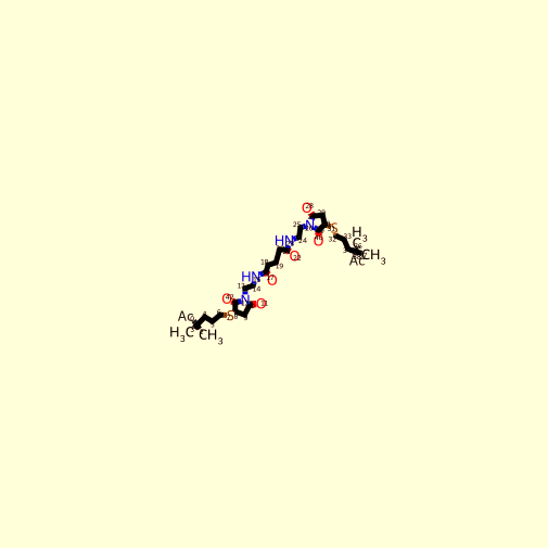 CC(=O)C(C)(C)CCCSC1CC(=O)N(CCNC(=O)CCCC(=O)NCCN2C(=O)CC(SCCCC(C)(C)C(C)=O)C2=O)C1=O